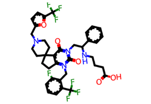 O=C(O)CCCNC(Cn1c(=O)c2c(n(Cc3c(F)cccc3C(F)(F)F)c1=O)CCC21CCN(Cc2ccc(C(F)(F)F)o2)CC1)c1ccccc1